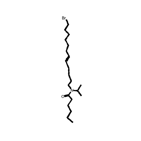 CCCCCC(=O)N(CCCCC=CCCCCCCBr)C(C)C